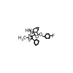 Cc1nc(C(=O)C2(N=N)CC3CC3C2COCc2ccc(F)cc2)c(-c2ccccc2)s1